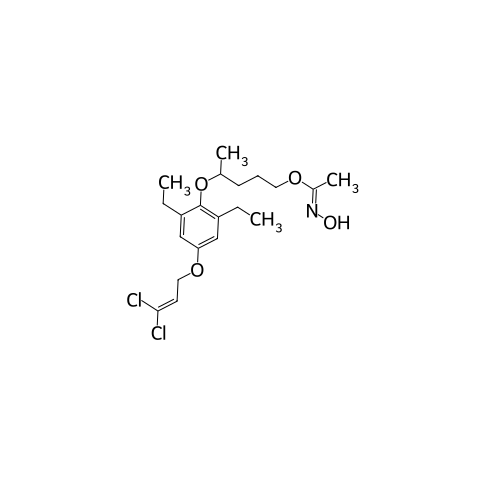 CCc1cc(OCC=C(Cl)Cl)cc(CC)c1OC(C)CCCOC(C)=NO